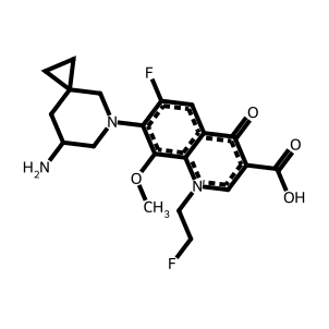 COc1c(N2CC(N)CC3(CC3)C2)c(F)cc2c(=O)c(C(=O)O)cn(CCF)c12